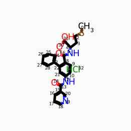 CSCCC(NC(=O)c1ccc(NC(=O)c2cccnc2)cc1-c1ccccc1)C(=O)O.Cl